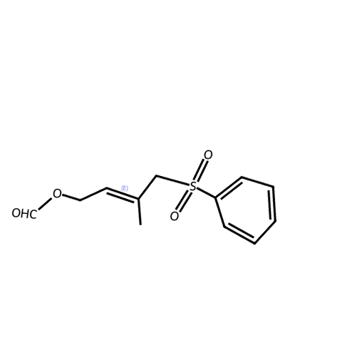 C/C(=C\COC=O)CS(=O)(=O)c1ccccc1